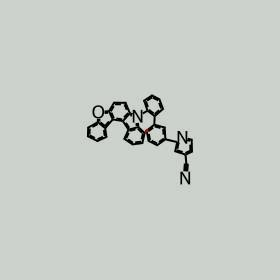 N#Cc1ccnc(-c2cccc(-c3ccccc3-n3c4ccccc4c4c5c(ccc43)oc3ccccc35)c2)c1